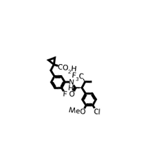 COc1cc([C@@H](C(=O)Nc2cc(CC3(C(=O)O)CC3)ccc2F)[C@@H](C)C(F)(F)F)ccc1Cl